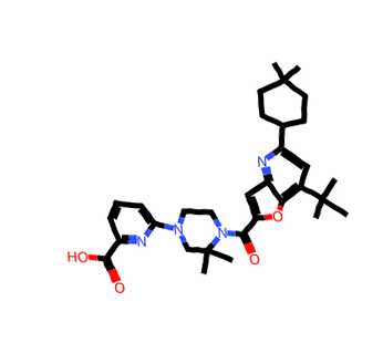 CC1(C)CCC(c2cc(C(C)(C)C)c3oc(C(=O)N4CCN(c5cccc(C(=O)O)n5)CC4(C)C)cc3n2)CC1